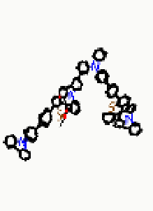 c1ccc(N(c2ccc(-c3ccc(-c4cccc5c4Sc4ccccc4C54c5ccccc5-n5c6ccccc6c6cccc4c65)cc3)cc2)c2cccc(-c3ccc4c(c3)c3cccc5c3n4-c3ccccc3C53c4ccccc4Sc4c(-c5ccc(-c6ccc(-n7c8ccccc8c8ccccc87)cc6)cc5)cccc43)c2)cc1